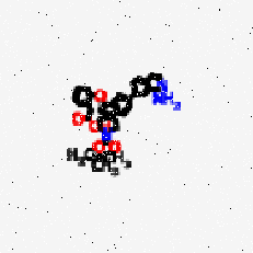 CC(C)(C)OC(=O)N1CCC2(CC1)C[C@@H](Oc1ccccc1CC(=O)O)c1cc(-c3ccc4ccnc(N)c4c3)ccc12